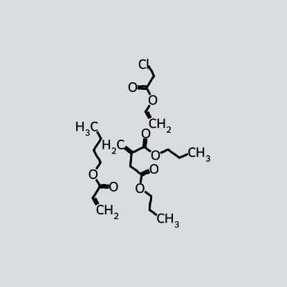 C=C(CC(=O)OCCC)C(=O)OCCC.C=CC(=O)OCCCC.C=COC(=O)CCl